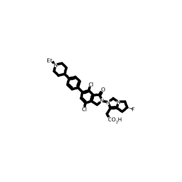 CCN1CCC(c2ccc(-c3cc(Cl)c4c(c3Cl)C(=O)N(N3CN5C[C@H](F)CC5=C3CC(=O)O)C4)cc2)CC1